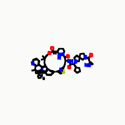 CO[C@@H](C)c1ncccc1-c1c2c3cc(ccc3n1CC(F)(F)F)-c1csc(n1)C[C@H](NC(=O)[C@H](C1CCCC1)N1CC[C@]3(CCN(C(=O)[C@H]4CN4)C3)C1)C(=O)N1CCC[C@H](N1)C(=O)OCC(C)(C)C2